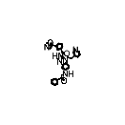 O=C(CNc1ccc2c(c1)nc(NC(=O)c1cccc(-c3cnco3)c1)n2CCc1cccnc1)c1ccccc1